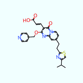 CC(C)c1csc(CCc2ccn3c(=O)c(/C=C/C(=O)O)c(OCc4ccncc4)nc3c2)n1